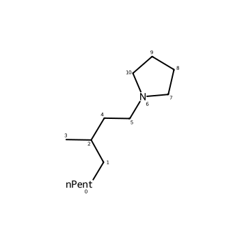 CCCCCCC(C)CCN1CCCC1